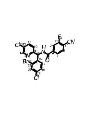 N#Cc1ccc(C(=O)NC(c2ccc(Cl)cn2)c2ccc(Cl)cc2Br)cc1F